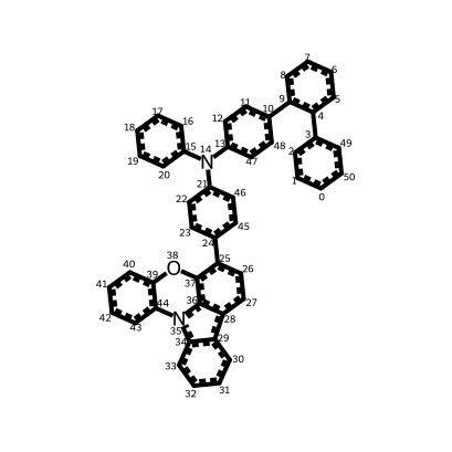 c1ccc(-c2ccccc2-c2ccc(N(c3ccccc3)c3ccc(-c4ccc5c6ccccc6n6c5c4Oc4ccccc4-6)cc3)cc2)cc1